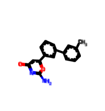 Cc1cccc(-c2cccc(-c3cc(=O)nc(N)o3)c2)c1